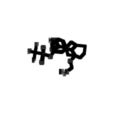 CCOC12CCCC(CN(C(=O)O)C1)C2c1cccc(OS(=O)(=O)C(F)(F)F)c1